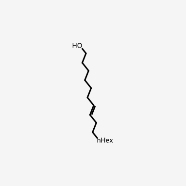 CCCCCCCCC=CCCCCCCO